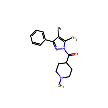 Cc1c(C(C)C)c(-c2ccccc2)nn1C(=O)C1CCN(C)CC1